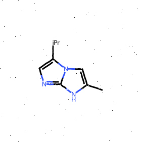 Cc1cn2c(C(C)C)cnc2[nH]1